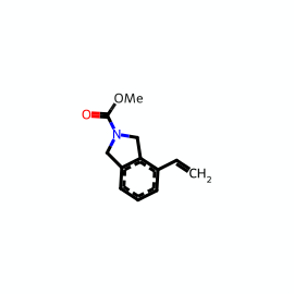 C=Cc1cccc2c1CN(C(=O)OC)C2